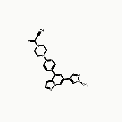 C#CC(=O)N1CCN(c2ccc(-c3cc(-c4cnn(C)c4)cn4nccc34)cn2)CC1